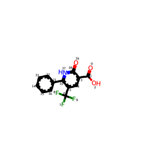 O=C(O)c1cc(C(F)(F)F)c(-c2ccccc2)[nH]c1=O